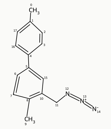 Cc1ccc(-c2ccc(C)c(CN=[N+]=[N-])c2)cc1